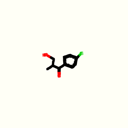 CC(CO)C(=O)c1ccc(Cl)cc1